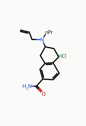 C=CCN(CCC)C1CCc2ccc(C(N)=O)cc2C1.Cl